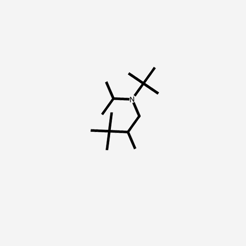 CC(C)N(CC(C)C(C)(C)C)C(C)(C)C